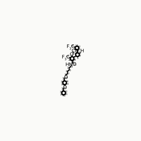 O=C(O)COc1c(-c2cccc(-c3cccc(C(F)(F)F)c3)c2)cc(C(=O)NCCCCCCOCc2ccc(OCc3ccccc3)cc2)cc1C(F)(F)F